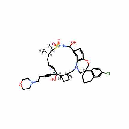 C[C@@H]1[C@@H](C)C/C=C/[C@@](O)(C#CCCN2CCOCC2)[C@@H]2CC[C@H]2CN2C[C@@]3(CCCc4cc(Cl)ccc43)COc3ccc(cc32)C(O)NS1(=O)=O